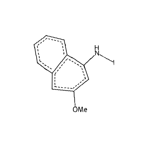 COc1cc(NI)c2ccccc2c1